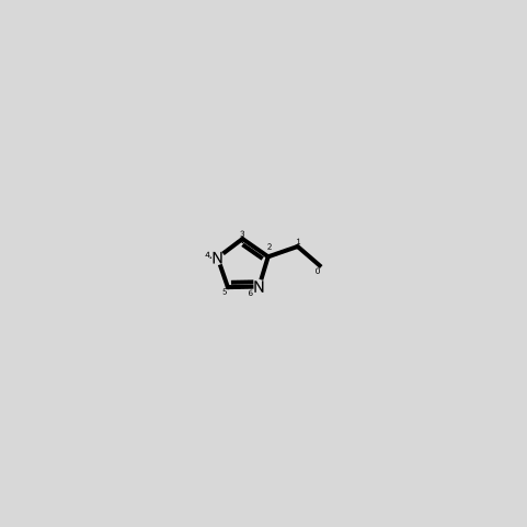 CCC1=[C][N]C=N1